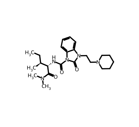 CC[C@H](C)[C@H](NC(=O)n1c(=O)n(CCN2CCCCC2)c2ccccc21)C(=O)N(C)C